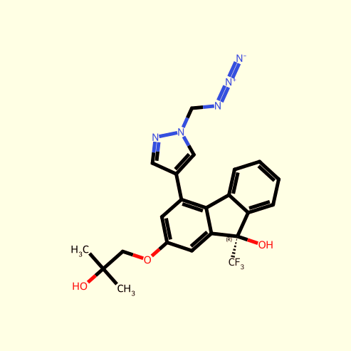 CC(C)(O)COc1cc(-c2cnn(CN=[N+]=[N-])c2)c2c(c1)[C@@](O)(C(F)(F)F)c1ccccc1-2